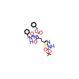 C[C@@H](NC(=O)N1C(=O)C(CCc2cnc(NC(=O)OC(C)(C)C)s2)[C@H]1C(=O)OCc1ccccc1)c1ccccc1